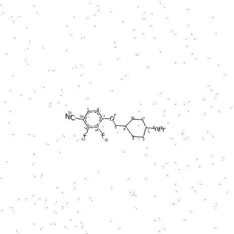 CCCC1CCC(COc2ccc(C#N)c(F)c2F)CC1